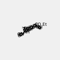 C=C(C)[C@@H]1CC[C@]2(NCCN3CCS(=O)(=O)CC3)CC[C@]3(C)[C@H](CCC4[C@@]5(C)CC=C(C6=CC[C@](COc7ccccn7)(C(=O)OCC)CC6)C(C)(C)C5CC[C@]43C)C12